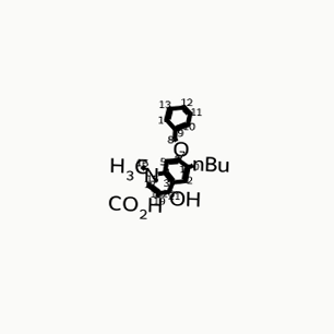 CCCCc1cc2c(cc1OCc1ccccc1)N(C)C=C(C(=O)O)C2O